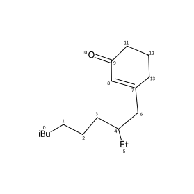 CCC(C)CCCC(CC)CC1=CC(=O)CCC1